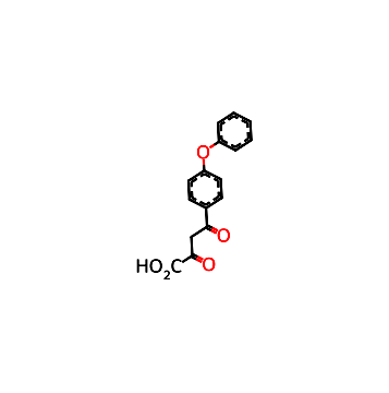 O=C(O)C(=O)CC(=O)c1ccc(Oc2ccccc2)cc1